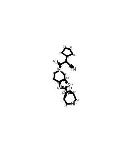 N#CC(C(=O)N1CCc2nc(N3C4CCC3CNC4)sc2C1)C1CCCC1